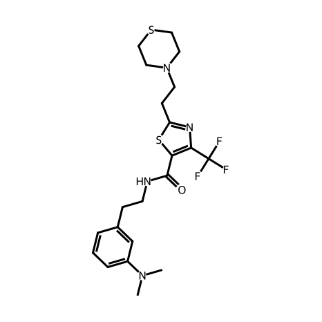 CN(C)c1cccc(CCNC(=O)c2sc(CCN3CCSCC3)nc2C(F)(F)F)c1